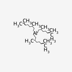 CC(C)=CCCC(C)C[CH2][Al]([CH2]CC(C)CCC=C(C)C)[CH2]CC(C)CCC=C(C)C